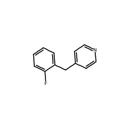 Fc1ccccc1Cc1ccncc1